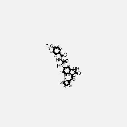 O=C(NC(=O)c1ccc(C(F)(F)F)cc1)Nc1ccc2c(c1)NC(=O)C2=Cc1ccc[nH]1